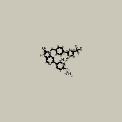 COc1ccc(-c2cc3c(cn2)[nH]c(=O)n3Cc2ccc(-c3nc(C(F)(F)F)cn3C)cc2)cn1